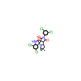 CCC12C(=O)N(c3cc(Cl)cc(Cl)c3)C(=O)C1C1C[C@]3(C)CC3N1C21c2cc(Cl)cc(Cl)c2NC1OC